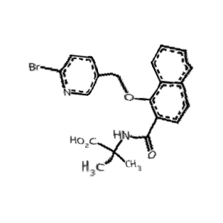 CC(C)(NC(=O)c1ccc2ccccc2c1OCc1ccc(Br)nc1)C(=O)O